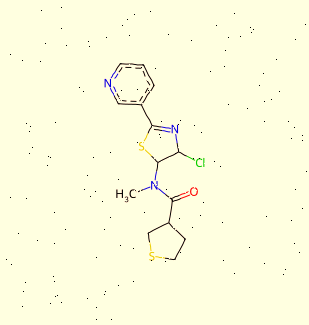 CN(C(=O)C1CCSC1)C1SC(c2cccnc2)=NC1Cl